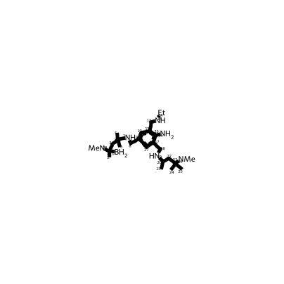 BC(C)(CC(C)(C)NCc1cc(CNCC)c(N)c(CNC(C)CC(C)(C)NC)c1)NC